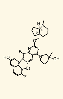 CCc1c(F)ccc2cc(O)cc(-c3ncc4c(N5CCCC(C)(O)C5)nc(OC[C@]56CCC[C@H]5N(C)CCC6)nc4c3F)c12